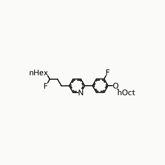 CCCCCCCCOc1ccc(-c2ccc(CCC(F)CCCCCC)cn2)cc1F